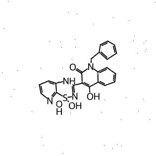 O=c1c(C2=NS(O)(O)c3ncccc3N2)c(O)c2ccccc2n1Cc1ccccc1